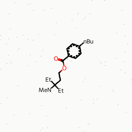 CCCCc1ccc(C(=O)OCCC(CC)(CC)NC)cc1